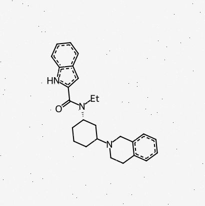 CCN(C(=O)c1cc2ccccc2[nH]1)[C@H]1CCCC(N2CCc3ccccc3C2)C1